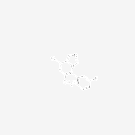 O=C(O)c1cc(Cl)c2cncn2c1-c1cccc(F)c1